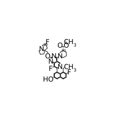 CCc1c(F)ccc2cc(O)cc(-c3ncc4c(N5CCC[C@@H](C(=O)OC)C5)nc(OCC56CCCN5C[C@H](F)C6)nc4c3F)c12